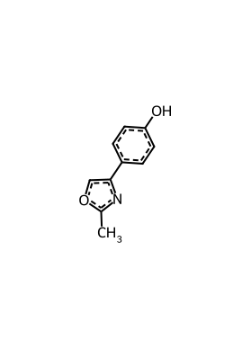 Cc1nc(-c2ccc(O)cc2)co1